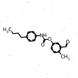 CCCCc1ccc(NC(=O)Oc2ccc(C)c(C=O)c2)cc1